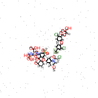 CCc1cccc(C)c1N(C(=O)CCl)C(C)COC.CS(=O)(=O)c1ccc(C(=O)C2C(=O)CCCC2=O)c([N+](=O)[O-])c1.C[C@H](OC(=O)c1cc(Oc2ccc(C(F)(F)F)cc2Cl)ccc1Cl)C(=O)O.O=C(O)CNCP(=O)(O)O